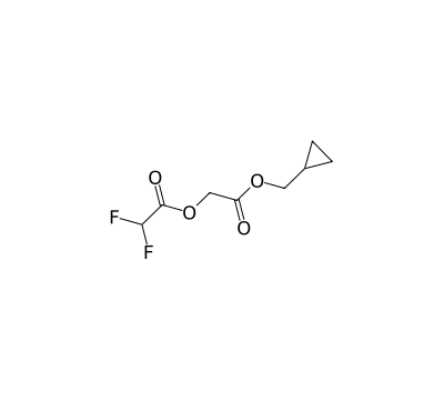 O=C(COC(=O)C(F)F)OCC1CC1